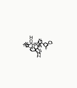 COc1cc(F)cc(-c2cncc3[nH]c(-c4n[nH]c5ccc(-c6cn(C)nc6CO)nc45)nc23)c1